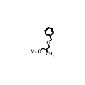 COCC(C)COCc1ccccc1